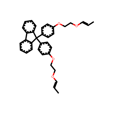 CC=COCCOc1ccc(C2(c3ccc(OCCOC=CC)cc3)c3ccccc3-c3ccccc32)cc1